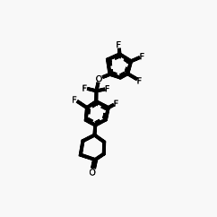 O=C1CCC(c2cc(F)c(C(F)(F)Oc3cc(F)c(F)c(F)c3)c(F)c2)CC1